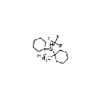 CC1([SiH](C(F)(F)F)C2(C)CCCCC2)CCCCC1